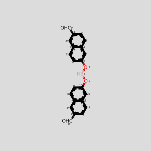 O=Cc1ccc2cc(OBOc3ccc4cc(C=O)ccc4c3)ccc2c1